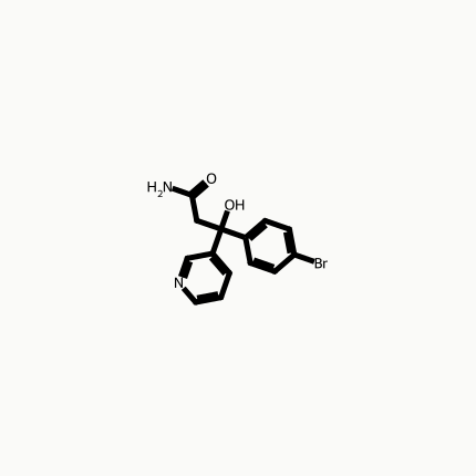 NC(=O)CC(O)(c1ccc(Br)cc1)c1cccnc1